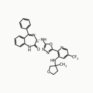 CC1(Nc2cc(C(F)(F)F)cnc2-c2nnc(N[C@H]3N=C(c4ccccc4)c4ccccc4NC3=O)o2)CCOC1